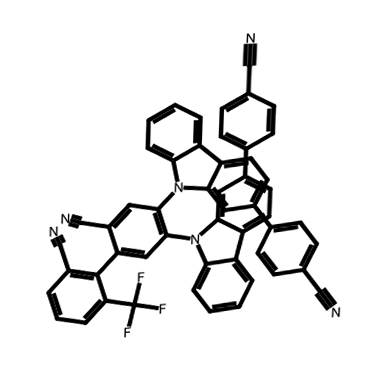 N#Cc1ccc(-c2ccc3c4ccccc4n(-c4cc(C#N)c(-c5c(C#N)cccc5C(F)(F)F)cc4-n4c5ccccc5c5ccc(-c6ccc(C#N)cc6)cc54)c3c2)cc1